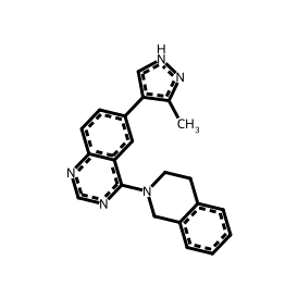 Cc1n[nH]cc1-c1ccc2ncnc(N3CCc4ccccc4C3)c2c1